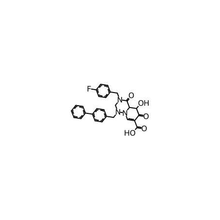 O=C(O)C1=CN2C(C(=O)N(Cc3ccc(F)cc3)CN2Cc2ccc(-c3ccccc3)cc2)C(O)C1=O